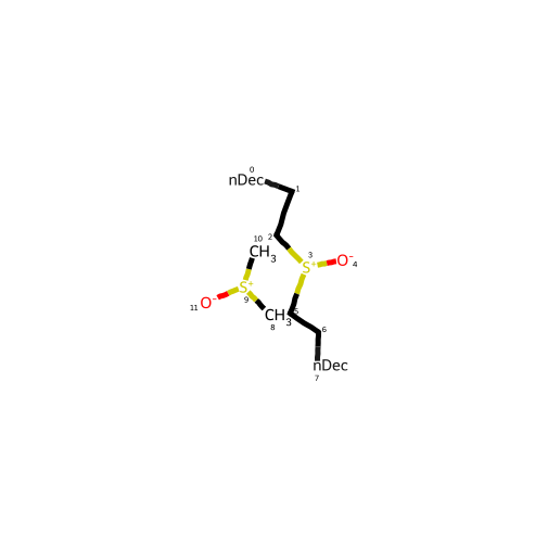 CCCCCCCCCCCC[S+]([O-])CCCCCCCCCCCC.C[S+](C)[O-]